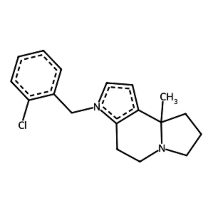 CC12CCCN1CCc1c2ccn1Cc1ccccc1Cl